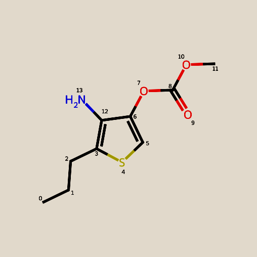 CCCc1scc(OC(=O)OC)c1N